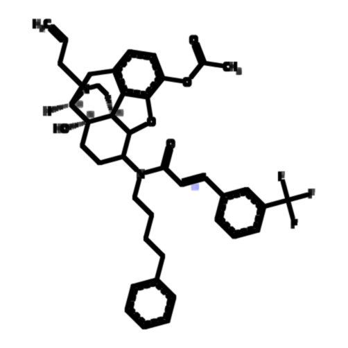 C=CCN1CC[C@]23c4c5ccc(OC(C)=O)c4OC2C(N(CCCCc2ccccc2)C(=O)/C=C/c2cccc(C(F)(F)F)c2)CC[C@@]3(O)[C@H]1C5